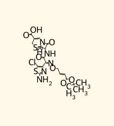 CC(C)(C)OC(=O)C=CCON=C(C(=O)NC1C(=O)N2C=C(C(=O)O)CS[C@H]12)c1nc(N)sc1Cl